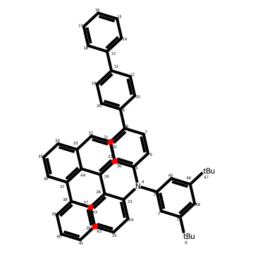 CC(C)(C)c1cc(N(c2ccc(-c3ccc(-c4ccccc4)cc3)cc2)c2ccccc2-c2cccc3cccc(-c4ccccc4)c23)cc(C(C)(C)C)c1